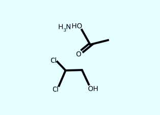 CC(=O)O.N.OCC(Cl)Cl